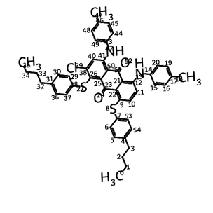 CCCCc1ccc(Sc2ccc(Nc3ccc(C)cc3)c3c2C(=O)c2c(Sc4ccc(CCCC)cc4)c(Cl)cc(Nc4ccc(C)cc4)c2C3=O)cc1